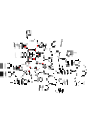 CC1C(O)[C@H](OC2OC(CO)[C@H](O)[C@H](O)C2O)[C@H](CO)O[C@H]1O[C@@H]1C(O)[C@H](O)C(CO)O[C@@H]1OCC1O[C@@H](O[C@@H]2C(CO)O[C@@H](O[C@@H]3C(CO)O[C@@H](C)[C@@H](C)C3O)[C@@H](C)C2O)[C@H](O)C(O[C@H]2O[C@H](CO)[C@@H](O)C(O)C2O[C@@H]2OC(CO)[C@@H](O[C@@H]3OC(CO)[C@H](O)C(O)[C@@H]3O)C(O)[C@@H]2C)[C@@H]1O